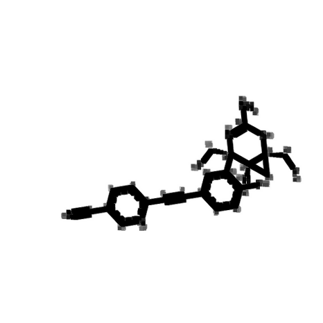 N#Cc1ccc(C#Cc2ccc(F)c([C@@]3(CF)N=C(N)S[C@@]4(CF)C[C@H]43)c2)nc1